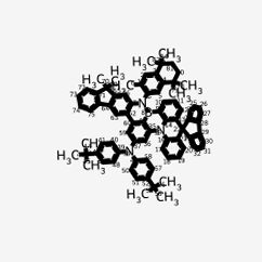 Cc1cc2c(cc1N1B3c4cccc5c4N(c4ccccc4C54c5ccccc5-c5ccccc54)c4cc(N(c5ccc(C(C)(C)C)cc5)c5ccc(C(C)(C)C)cc5)cc(c43)-c3cc4c(cc31)C(C)(C)c1ccccc1-4)C(C)(C)CCC2(C)C